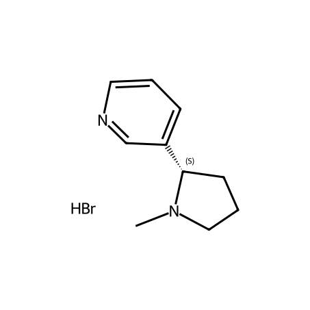 Br.CN1CCC[C@H]1c1cccnc1